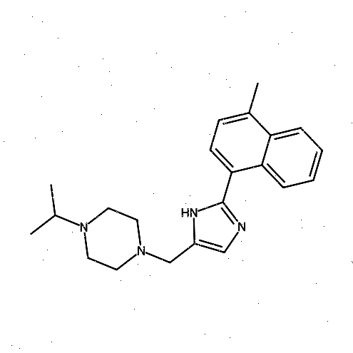 Cc1ccc(-c2ncc(CN3CCN(C(C)C)CC3)[nH]2)c2ccccc12